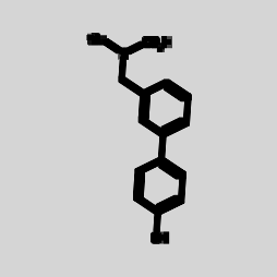 CC(C)(C)N(Cc1cccc(-c2ccc(O)cc2)c1)C(=O)O